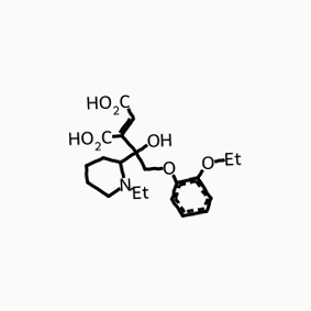 CCOc1ccccc1OCC(O)(/C(=C/C(=O)O)C(=O)O)C1CCCCN1CC